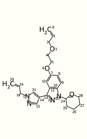 C=CCOCCOc1ccc2c(c1)c(-c1cnn(CC=C)c1)nn2C1CCCCO1